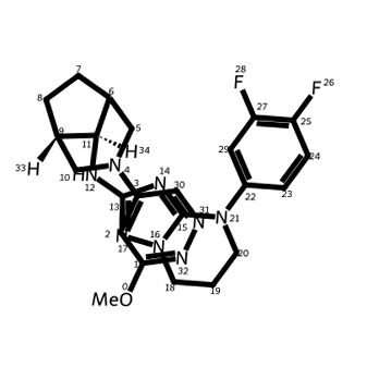 COc1cc(N2CC3CC[C@@H](C2)[C@@H]3Nc2nc3n(n2)CCCN3c2ccc(F)c(F)c2)cnn1